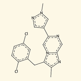 Cc1nc2cnc(-c3cnn(C)c3)cn2c1Cc1cc(Cl)ccc1Cl